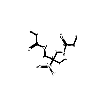 CCC(=O)OCC(CC)(COC(=O)CC)[N+](=O)[O-]